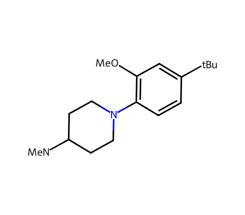 CNC1CCN(c2ccc(C(C)(C)C)cc2OC)CC1